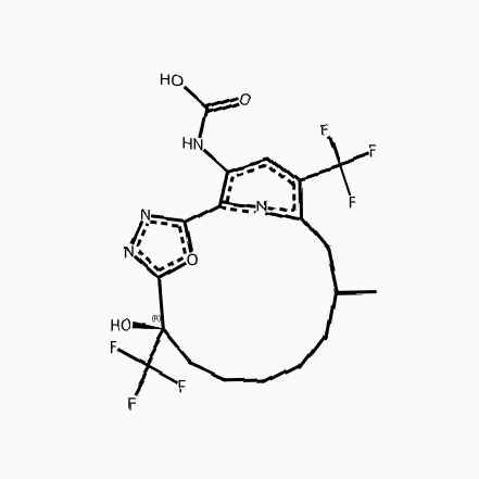 CC1CCCCC[C@](O)(C(F)(F)F)c2nnc(o2)-c2nc(c(C(F)(F)F)cc2NC(=O)O)C1